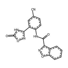 N#Cc1ccc(NC(=O)c2noc3ccccc23)c(-c2noc(=O)[nH]2)c1